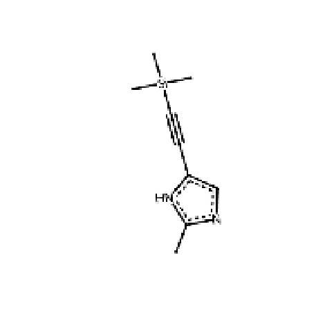 Cc1ncc(C#C[Si](C)(C)C)[nH]1